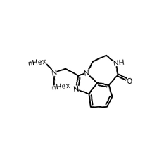 CCCCCCN(CCCCCC)Cc1nc2cccc3c2n1CCNC3=O